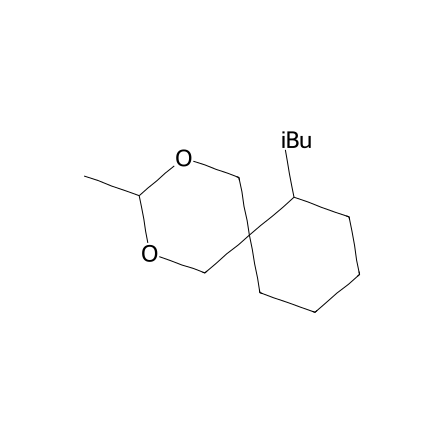 CCC(C)C1CCCCC12COC(C)OC2